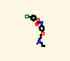 C=CCN(C)CCCO[C@H]1CC[C@H](N(C)C(=O)Oc2ccc(Cl)cc2)CC1